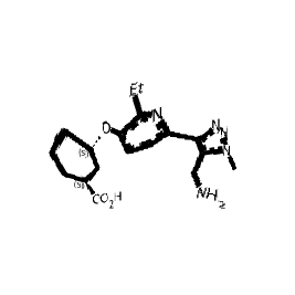 CCc1nc(-c2nnn(C)c2CN)ccc1O[C@H]1CCC[C@H](C(=O)O)C1